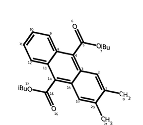 Cc1cc2c(C(=O)OCC(C)C)c3ccccc3c(C(=O)OCC(C)C)c2cc1C